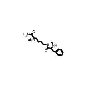 CNC(CCCCNC(=O)C(Cc1ccccc1)NC)C(N)=O